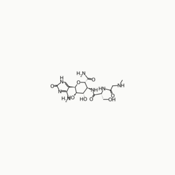 CNCC(=O)N[C@H](CO)C(=O)N[C@H]1[C@H](O)[C@@H](O)[C@@H](c2c[nH]c(=O)nc2N)O[C@@H]1C(N)=O